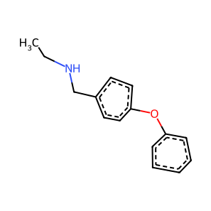 CCNCc1ccc(Oc2ccccc2)cc1